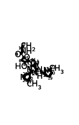 C=CNC(=O)[C@@H]1C[C@@H](O)[C@H](n2cnc3c(NCc4cccc(C)n4)nc(-c4cncc(C)c4)nc32)O1